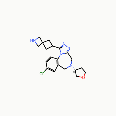 Clc1ccc2c(c1)CN([C@@H]1CCOC1)Cc1nnc(C3CC4(CNC4)C3)n1-2